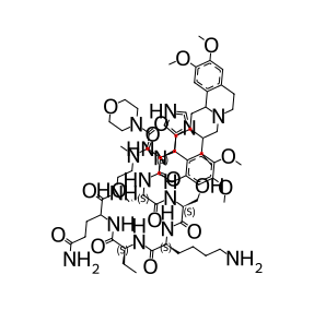 CCC1CN2CCc3cc(OC)c(OC)cc3C2CC1CC1c2cc(OC)c(OC)cc2CCN1C(=O)N(C)CCNC(=O)C(CCC(N)=O)NC(=O)[C@H](CC)NC(=O)[C@H](CCCCN)NC(=O)[C@H](CO)NC(=O)[C@H](CO)NC(=O)[C@H](Cc1c[nH]cn1)NC(=O)N1CCOCC1